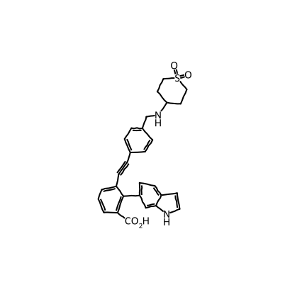 O=C(O)c1cccc(C#Cc2ccc(CNC3CCS(=O)(=O)CC3)cc2)c1-c1ccc2cc[nH]c2c1